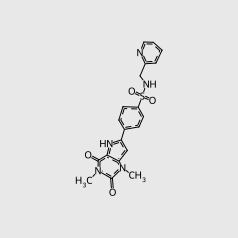 Cn1c(=O)c2[nH]c(-c3ccc(S(=O)(=O)NCc4ccccn4)cc3)cc2n(C)c1=O